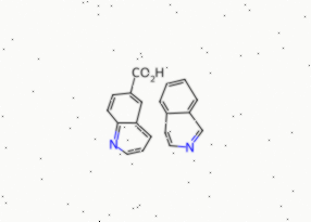 O=C(O)c1ccc2ncccc2c1.c1ccc2cnccc2c1